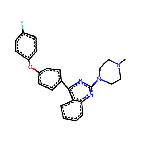 CN1CCN(c2nc(-c3ccc(Oc4ccc(F)cc4)cc3)c3ccccc3n2)CC1